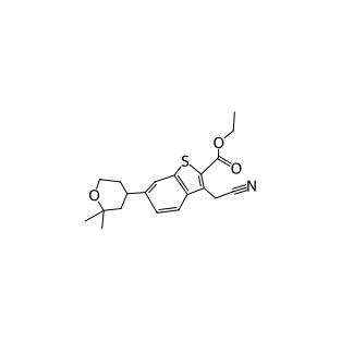 CCOC(=O)c1sc2cc(C3CCOC(C)(C)C3)ccc2c1CC#N